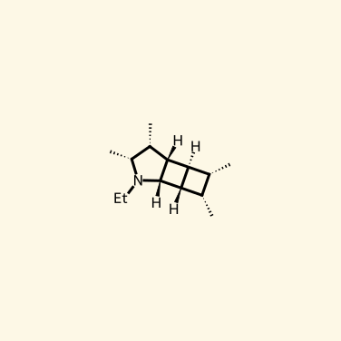 CCN1[C@@H]2[C@H]([C@@H](C)[C@H]1C)[C@H]1[C@H](C)[C@H](C)[C@@H]12